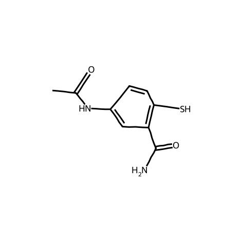 CC(=O)Nc1ccc(S)c(C(N)=O)c1